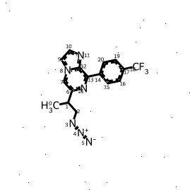 CC(CN=[N+]=[N-])c1cn2ccnc2c(-c2ccc(C(F)(F)F)cc2)n1